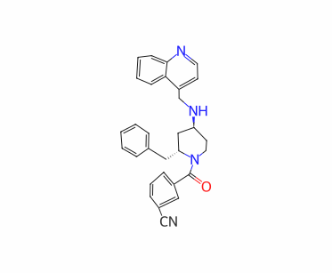 N#Cc1cccc(C(=O)N2CC[C@H](NCc3ccnc4ccccc34)C[C@H]2Cc2ccccc2)c1